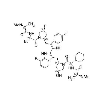 CC[C@H](NC(=O)[C@H](C)NC)C(=O)N1C[C@@H](F)C[C@H]1Cc1c(-c2[nH]c3c(F)cccc3c2C[C@@H]2C[C@H](O)CN2C(=O)[C@@H](NC(=O)[C@H](C)NC)C2CCCCC2)[nH]c2cc(F)ccc12